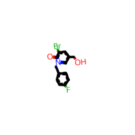 O=c1c(Br)cc(CO)cn1Cc1ccc(F)cc1